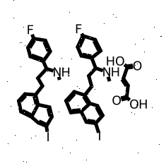 CNC(CCc1cccc2cc(I)ccc12)c1ccc(F)cc1.CNC(CCc1cccc2cc(I)ccc12)c1ccc(F)cc1.O=C(O)C=CC(=O)O